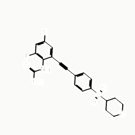 CC(C)(C)C(=O)Nc1c(F)cc(F)cc1C#Cc1ccc(S(=O)(=O)C2CCOCC2)cc1